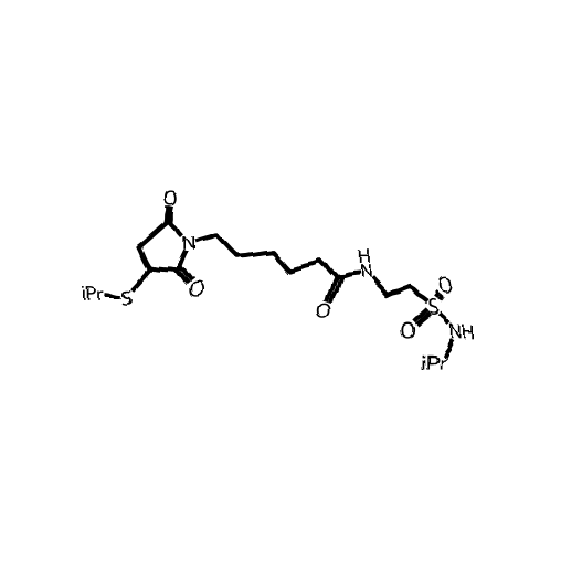 CC(C)NS(=O)(=O)CCNC(=O)CCCCCN1C(=O)CC(SC(C)C)C1=O